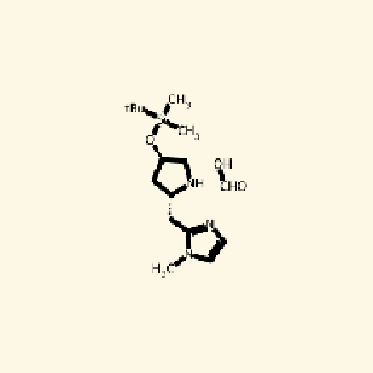 Cn1ccnc1C[C@@H]1C[C@@H](O[Si](C)(C)C(C)(C)C)CN1.O=CO